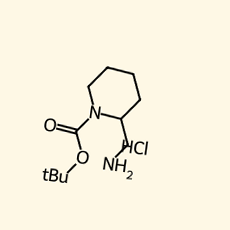 CC(C)(C)OC(=O)N1CCCCC1CN.Cl